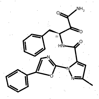 Cc1cc(C(=O)N[C@@H](Cc2ccccc2)C(=O)C(N)=O)n(-c2ncc(-c3ccccc3)o2)n1